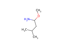 COC(N)CC(C)C